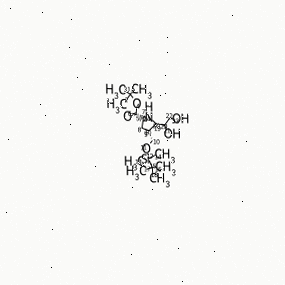 CC(C)(C)OC(=O)[C@H]1C[C@@H](CO[Si](C)(C)C(C)(C)C)[C@H](C(O)CO)N1